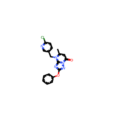 Cc1cc(=O)n2nc(Oc3ccccc3)nc2n1Cc1ccc(Cl)nc1